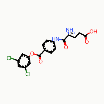 N[C@@H](CCC(=O)O)C(=O)Nc1ccc(C(=O)Oc2cc(Cl)cc(Cl)c2)cc1